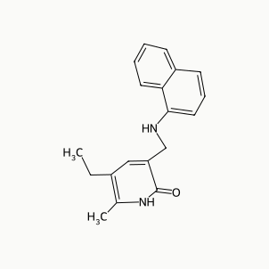 CCc1cc(CNc2cccc3ccccc23)c(=O)[nH]c1C